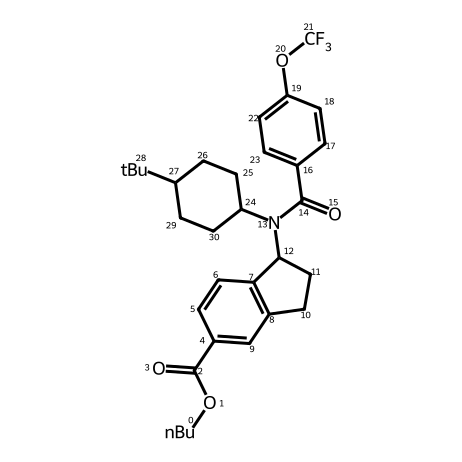 CCCCOC(=O)c1ccc2c(c1)CCC2N(C(=O)c1ccc(OC(F)(F)F)cc1)C1CCC(C(C)(C)C)CC1